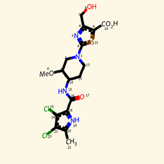 COC1CN(c2nc(CO)c(C(=O)O)s2)CCC1NC(=O)c1[nH]c(C)c(Cl)c1Cl